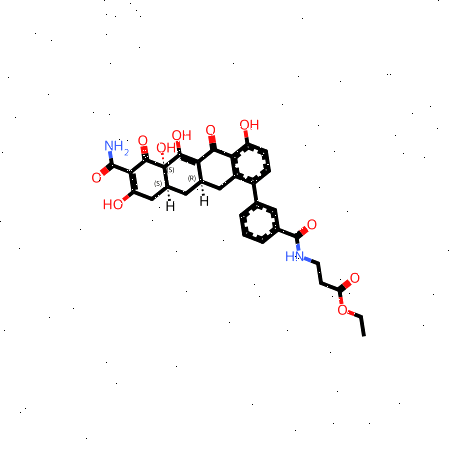 CCOC(=O)CCNC(=O)c1cccc(-c2ccc(O)c3c2C[C@H]2C[C@H]4CC(O)=C(C(N)=O)C(=O)[C@@]4(O)C(O)=C2C3=O)c1